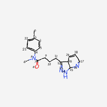 Cc1ccc(N(C)C(=O)CCCC2=NNC3N=CC=CC23)cc1